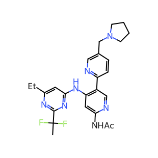 CCc1cc(Nc2cc(NC(C)=O)ncc2-c2ccc(CN3CCCC3)cn2)nc(C(C)(F)F)n1